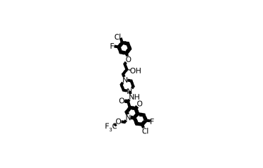 O=C(NN1CCN(C[C@@H](O)COc2ccc(Cl)c(F)c2)CC1)c1cn(COC(F)(F)F)c2cc(Cl)c(F)cc2c1=O